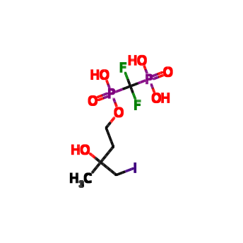 CC(O)(CI)CCOP(=O)(O)C(F)(F)P(=O)(O)O